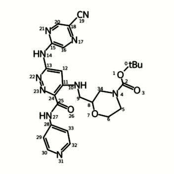 CC(C)(C)OC(=O)N1CCOC(CNc2cc(Nc3cnc(C#N)cn3)nnc2C(=O)Nc2ccncc2)C1